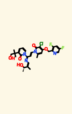 C/C(=C/N=C(\C=C\n1c(C)cc(OCc2ncc(F)cc2F)c(Cl)c1=O)n1cccc(C(C)(C)CO)c1=O)[C@H](C)O